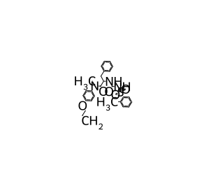 C=CCOc1ccc(N(C)C(=O)C(Cc2ccccc2)NC(=O)NS(=O)(=O)c2ccccc2C)cc1